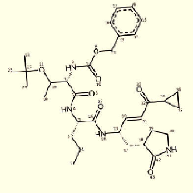 CCC[C@H](NC(=O)[C@@H](NC(=O)OCc1ccccc1)C(C)OC(C)(C)C)C(=O)N[C@H](/C=C/C(=O)C1CC1)C[C@@H]1CCNC1=O